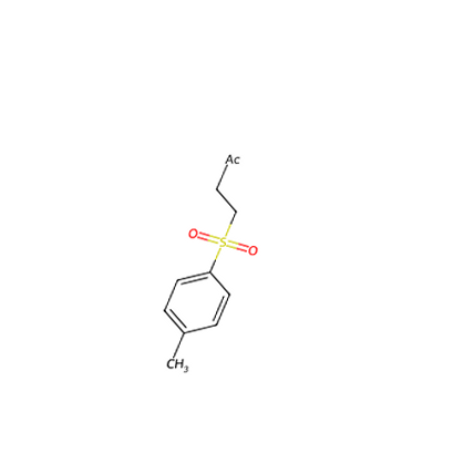 CC(=O)CCS(=O)(=O)c1ccc(C)cc1